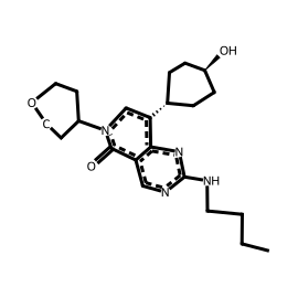 CCCCNc1ncc2c(=O)n(C3CCOCC3)cc([C@H]3CC[C@H](O)CC3)c2n1